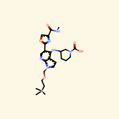 CNC(=O)c1coc(-c2cnc3c(ccn3COCC[Si](C)(C)C)c2NC2CCCN(C(=O)O)C2)n1